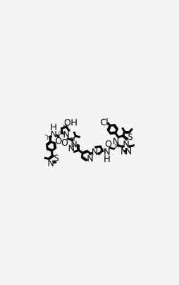 Cc1ncsc1-c1ccc([C@H](C)NC(=O)[C@@H]2C[C@@H](O)CN2C(=O)[C@@H](C(C)C)n2cc(-c3ccnc(N4CC[C@H](NC(=O)C[C@@H]5N=C(c6ccc(Cl)cc6)c6c(sc(C)c6C)-n6c(C)nnc65)C4)c3)cn2)cc1